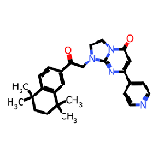 CC1(C)CCC(C)(C)c2cc(C(=O)CN3CCn4c3nc(-c3ccncc3)cc4=O)ccc21